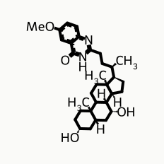 COc1ccc2nc(CC[C@@H](C)[C@H]3CC[C@H]4[C@H]5C(CC[C@]34C)[C@@]3(C)CC[C@@H](O)C[C@H]3C[C@H]5O)[nH]c(=O)c2c1